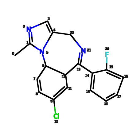 Cc1ncc2n1C1C=CC(Cl)=CC1C(c1ccccc1F)=NC2